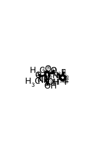 CNC(=O)c1c(C)c(=O)c(C(=O)NCc2ccc(F)cc2F)cn1CC(O)O